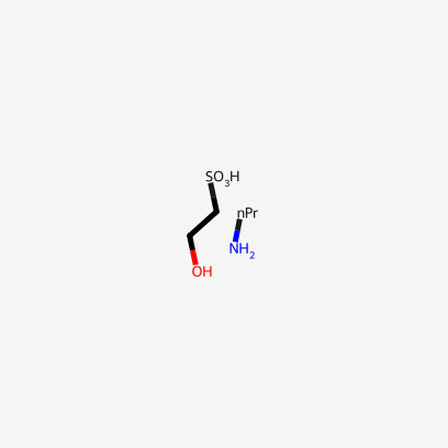 CCCN.O=S(=O)(O)CCO